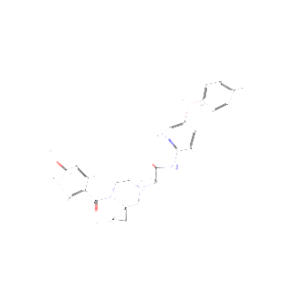 C[C@@H](C(=O)Nc1ccc(Oc2ccc(F)cc2)cn1)N1CCN(C(=O)c2ccc(=O)[nH]c2)C2(CC2)C1